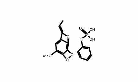 CC=C1Oc2c1cc(OC)c1ooc21.O=P(O)(O)Oc1ccccc1